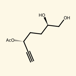 C#C[C@@H](CC[C@@H](O)CO)OC(C)=O